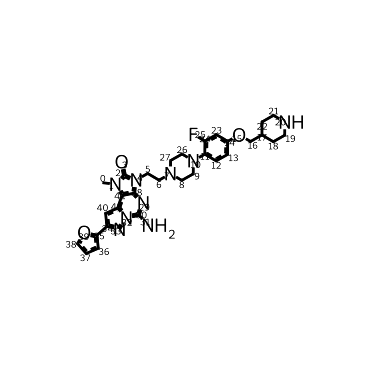 Cn1c(=O)n(CCN2CCN(c3ccc(OCC4CCNCC4)cc3F)CC2)c2nc(N)n3nc(-c4ccco4)cc3c21